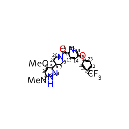 CNC1C=C(OC)C(C2CCN(C(=O)c3ccc(Oc4ccc(C(F)(F)F)cc4)cn3)CC2)=NN1